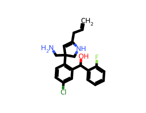 C=CCC1=CC(CN)(c2ccc(Cl)cc2C(O)c2ccccc2F)CN1